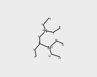 CCC(CN(CC)CC)N(CC)CC